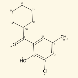 Cc1cc(Cl)c(O)c(C(=O)C2CCCCC2)c1